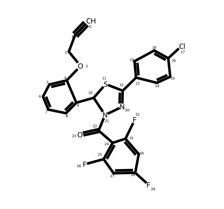 C#CCOc1ccccc1C1SC(c2ccc(Cl)cc2)=NN1C(=O)c1c(F)cc(F)cc1F